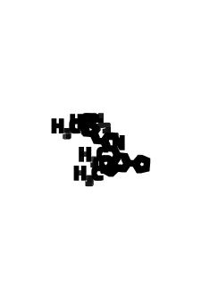 C=C/C(=C\c1ccnc(-c2cc(C3CCCC3)cc3cc(C)oc23)c1C)CC(C)C